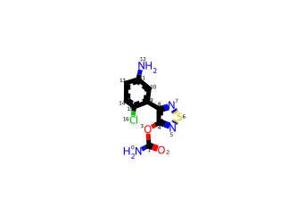 NC(=O)Oc1nsnc1-c1cc(N)ccc1Cl